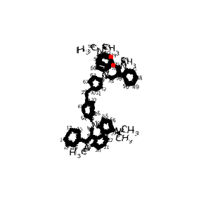 CN(C)c1ccc(N(Cc2c(-c3ccccc3)n(C)c3ccccc23)c2ccc(Cc3ccc(N(Cc4c(-c5ccccc5)n(C)c5ccccc45)c4ccc(N(C)C)cc4)cc3)cc2)cc1